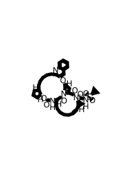 O=C1N[C@H]2CCCCC/C=C\[C@@H]3C[C@@]3(C(=O)NS(=O)(=O)C3CC3)NC(=O)[C@@H]3C[C@H](CN3C2=O)Oc2cc3ccccc3nc2CCCCC[C@@H]2CCC[C@H]2O1